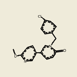 COc1ccc(-c2ccc(=O)n(Cc3ccc(Cl)cc3)c2)cn1